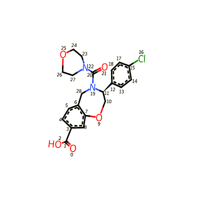 O=C(O)c1ccc2c(c1)OC[C@H](c1ccc(Cl)cc1)N(C(=O)N1CCOCC1)C2